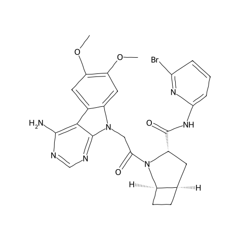 COc1cc2c3c(N)ncnc3n(CC(=O)N3[C@@H]4CC[C@@H]4C[C@H]3C(=O)Nc3cccc(Br)n3)c2cc1OC